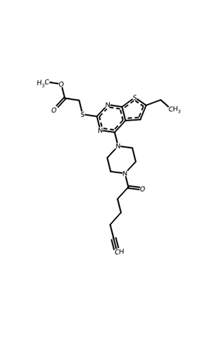 C#CCCCC(=O)N1CCN(c2nc(SCC(=O)OC)nc3sc(CC)cc23)CC1